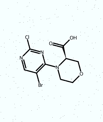 O=C(O)[C@H]1COCCN1c1nc(Cl)ncc1Br